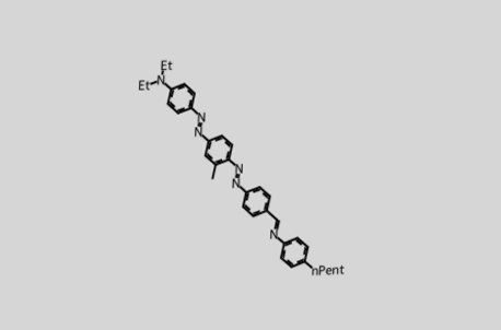 CCCCCc1ccc(N=Cc2ccc(N=Nc3ccc(N=Nc4ccc(N(CC)CC)cc4)cc3C)cc2)cc1